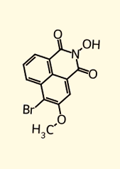 COc1cc2c3c(cccc3c1Br)C(=O)N(O)C2=O